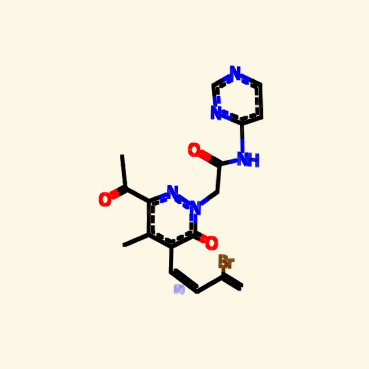 C=C(Br)/C=C\c1c(C)c(C(C)=O)nn(CC(=O)Nc2ccncn2)c1=O